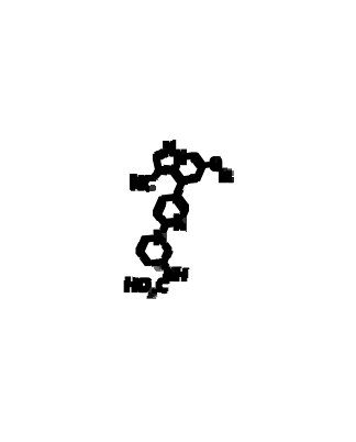 CCOc1cc(-c2ccc(N3CCC[C@H](NC(=O)O)C3)nc2)c2c(C#N)cnn2c1